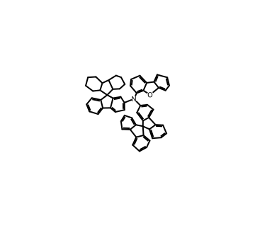 c1ccc2c(c1)-c1ccccc1C21c2ccccc2-c2ccc(N(c3ccc4c(c3)C3(c5ccccc5-4)C4CCCCC4C4CCCCC43)c3cccc4c3oc3ccccc34)cc21